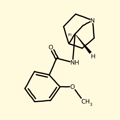 COc1ccccc1C(=O)N[C@H]1CN2CCC1CC2